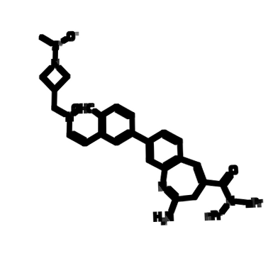 CCCN(CCC)C(=O)C1=Cc2ccc(-c3ccc(C=O)c(/C=C\N(C)CC4CN([S+](C)[O-])C4)c3)cc2N=C(N)C1